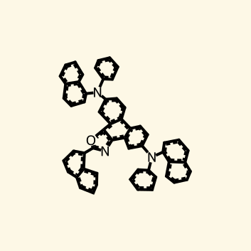 c1ccc(N(c2ccc3c4ccc(N(c5ccccc5)c5cccc6ccccc56)cc4c4oc(-c5cccc6ccccc56)nc4c3c2)c2cccc3ccccc23)cc1